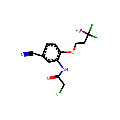 N#Cc1ccc(OCCC(F)(F)P)c(NC(=O)CCl)c1